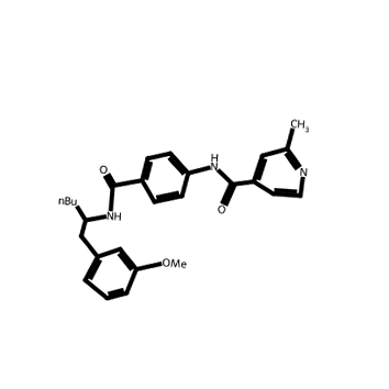 CCCCC(Cc1cccc(OC)c1)NC(=O)c1ccc(NC(=O)c2ccnc(C)c2)cc1